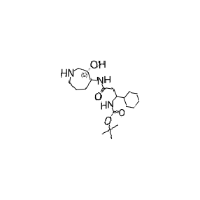 CC(C)(C)OC(=O)NC(CC(=O)NC1CCCNC[C@@H]1O)C1CCCCC1